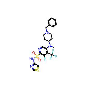 CN(c1cnc(S(=O)(=O)Nc2cscn2)c(F)c1C(F)(F)F)C1CCN(Cc2ccccc2)CC1